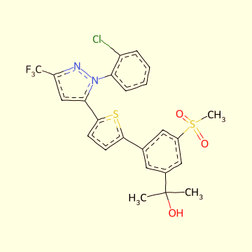 CC(C)(O)c1cc(-c2ccc(-c3cc(C(F)(F)F)nn3-c3ccccc3Cl)s2)cc(S(C)(=O)=O)c1